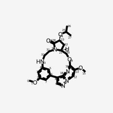 COc1cc2cc(c1)-c1cnn3cc(OC)c(nc13)OC[C@@H]1C[C@@H](OC(C)C)C(=O)N1CCN2